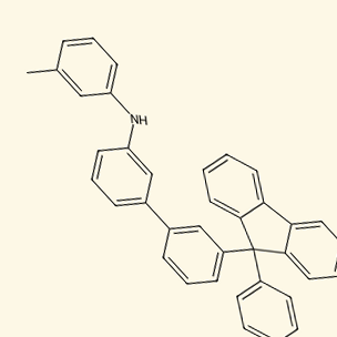 Cc1cccc(Nc2cccc(-c3cccc(C4(c5ccccc5)c5ccccc5-c5ccccc54)c3)c2)c1